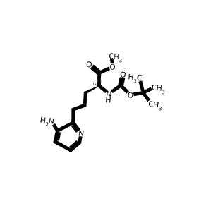 COC(=O)[C@H](CCCc1ncccc1N)NC(=O)OC(C)(C)C